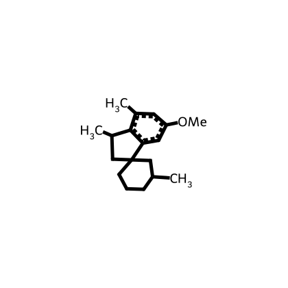 COc1cc(C)c2c(c1)C1(CCCC(C)C1)CC2C